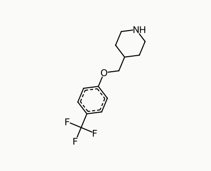 FC(F)(F)c1ccc(OCC2CCNCC2)cc1